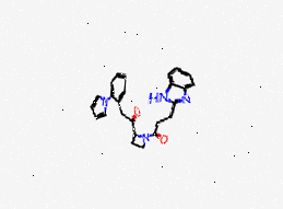 O=C(Cc1ccccc1-n1cccc1)C1CCN1C(=O)CCc1nc2ccccc2[nH]1